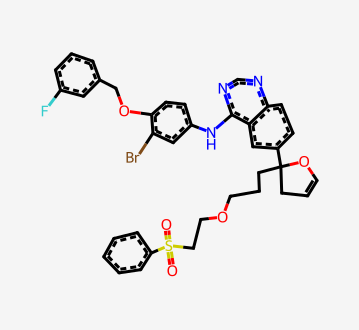 O=S(=O)(CCOCCCC1(c2ccc3ncnc(Nc4ccc(OCc5cccc(F)c5)c(Br)c4)c3c2)CC=CO1)c1ccccc1